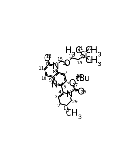 CC1CC=C(c2ccc3c(ccc(=O)n3COCC[Si](C)(C)C)n2)N(C(=O)OC(C)(C)C)C1